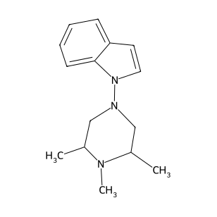 CC1CN(n2ccc3ccccc32)CC(C)N1C